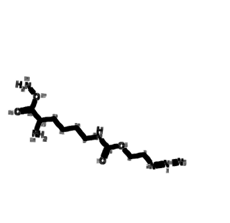 [N-]=[N+]=NCCOC(=O)NCCCCC(N)C(=O)ON